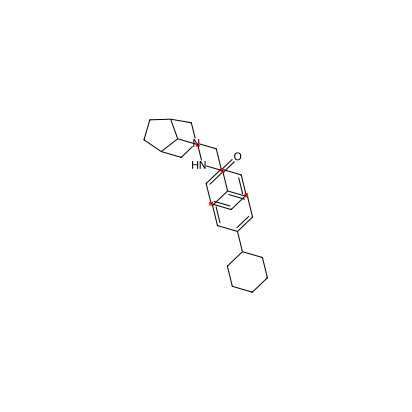 O=C(NCC1C2CCC1CN(Cc1ccccc1)C2)c1ccc(C2CCCCC2)cc1